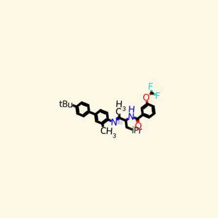 C/C(=N\c1ccc(-c2ccc(C(C)(C)C)cc2)cc1C)C(CC(C)C)NC(=O)c1cccc(OC(F)F)c1